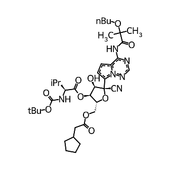 CCCCOC(C)(C)C(=O)Nc1ncnn2c([C@]3(C#N)O[C@H](COC(=O)CC4CCCC4)[C@@H](OC(=O)[C@@H](NC(=O)OC(C)(C)C)C(C)C)[C@H]3O)ccc12